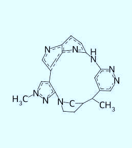 CC1c2cnnc(c2)Nc2ccc3ncc(cc3n2)-c2cn(C)nc2N2CCC1C2